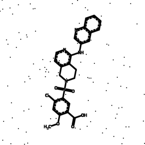 COc1cc(Cl)c(S(=O)(=O)N2CCc3c(ccnc3Nc3cnc4ccccc4c3)C2)cc1C(=O)O